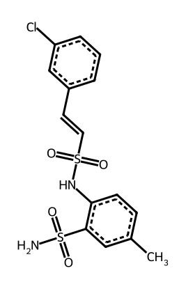 Cc1ccc(NS(=O)(=O)C=Cc2cccc(Cl)c2)c(S(N)(=O)=O)c1